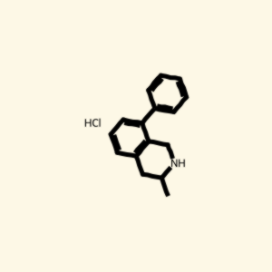 CC1Cc2cccc(-c3ccccc3)c2CN1.Cl